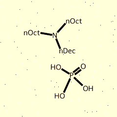 CCCCCCCCCCN(CCCCCCCC)CCCCCCCC.O=P(O)(O)O